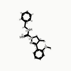 COc1ccccc1C1=NN(C(=N)NCc2ccccc2)CC1C